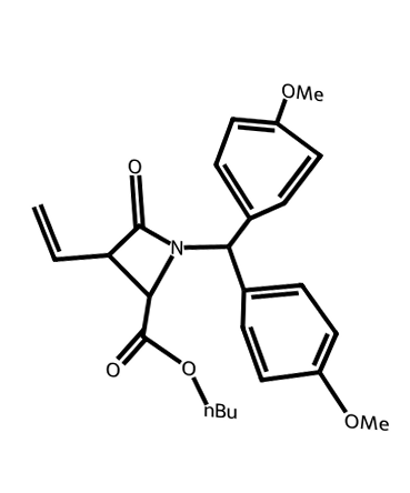 C=CC1C(=O)N(C(c2ccc(OC)cc2)c2ccc(OC)cc2)C1C(=O)OCCCC